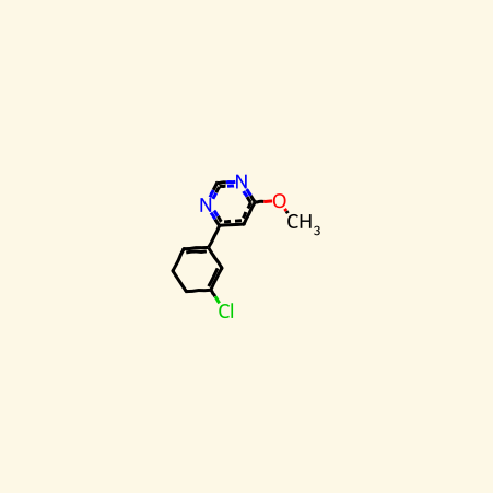 COc1cc(C2=CCCC(Cl)=C2)ncn1